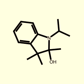 CC(C)N1c2ccccc2C(C)(C)C1(C)O